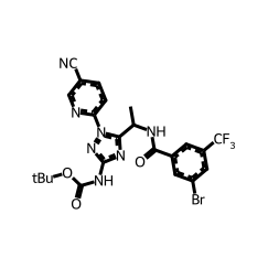 CC(NC(=O)c1cc(Br)cc(C(F)(F)F)c1)c1nc(NC(=O)OC(C)(C)C)nn1-c1ccc(C#N)cn1